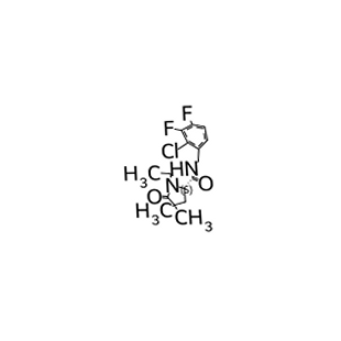 CCN1C(=O)C(C)(C)C[C@H]1C(=O)NCc1ccc(F)c(F)c1Cl